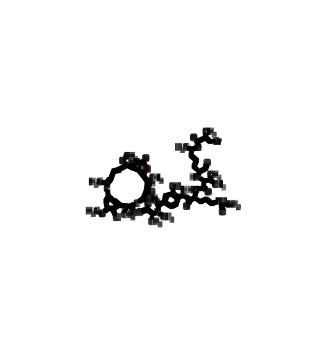 C=C(CBr)C(=O)OC(C)CCC[C@@H](C=O)N[C@H](C(=O)N[C@@H](CCCNC(N)=O)C(=O)Nc1ccc(C(=O)N(C)[C@@H](C)C(=O)O[C@H]2CC(=O)N(C)c3cc(cc(OC)c3Cl)C/C(C)=C/C=C/[C@@H](OC)[C@@]3(O)C[C@H](OC(=O)N3)[C@@H](C)[C@@H]3O[C@@]23C)cc1O)C(C)C